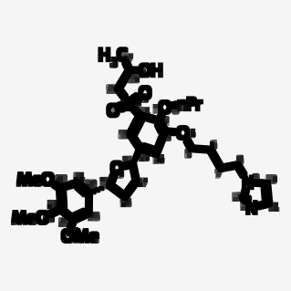 CCCOc1c(OCCCCn2ccnc2)cc([C@H]2CC[C@H](c3cc(OC)c(OC)c(OC)c3)O2)cc1S(=O)(=O)CC(C)O